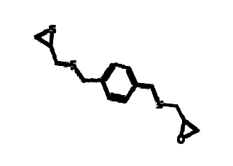 c1cc(CSCC2CS2)ccc1CSCC1CO1